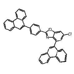 Clc1cc(-c2cc3ccccc3c3ccccc23)c2nc(-c3ccc(-c4cc5ccccc5c5ccccc45)cc3)oc2c1